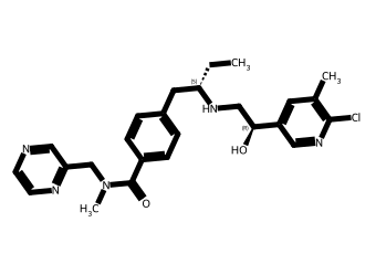 CC[C@@H](Cc1ccc(C(=O)N(C)Cc2cnccn2)cc1)NC[C@H](O)c1cnc(Cl)c(C)c1